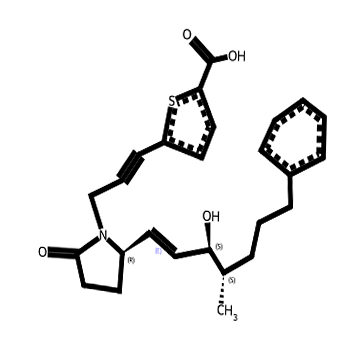 C[C@@H](CCCc1ccccc1)[C@H](O)/C=C/[C@H]1CCC(=O)N1CC#Cc1ccc(C(=O)O)s1